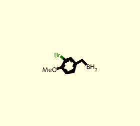 BCc1ccc(OC)c(Br)c1